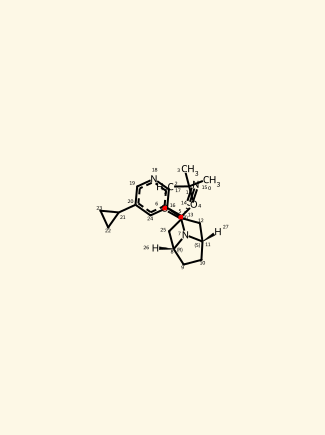 CC(C)(C)OC(=O)N1[C@@H]2CC[C@H]1C[C@](C#N)(c1cncc(C3CC3)c1)C2